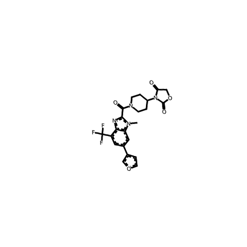 Cn1c(C(=O)N2CCC(N3C(=O)COC3=O)CC2)nc2c(C(F)(F)F)cc(-c3ccoc3)cc21